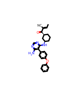 CC=C(C#N)C(=O)[C@H]1CCC[C@@H](Nc2ncnc(N)c2-c2ccc(Oc3ccccc3)cc2)C1